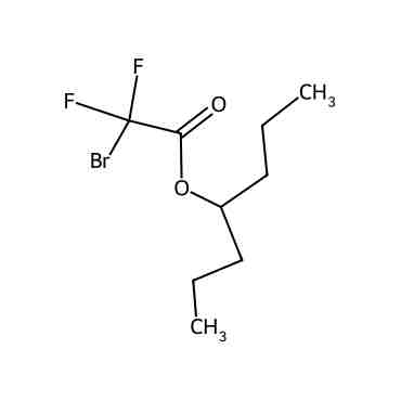 CCCC(CCC)OC(=O)C(F)(F)Br